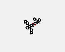 CC1CC2=C(c3ccc4ccccc4c3)C3=CCCCC3(C)C(c3ccc4ccccc4c3)=C2CC1(C)c1ccc(-c2nc3ccccc3n2-c2ccccc2)cc1